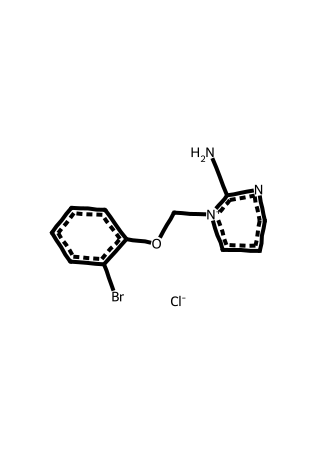 Nc1nccc[n+]1COc1ccccc1Br.[Cl-]